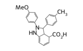 COc1ccc(N2NC3=CC=CC(C(=O)O)C3C2c2ccc(C)cc2)cc1